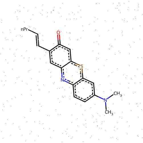 CCC/C=C/c1cc2nc3ccc(N(C)C)cc3sc-2cc1=O